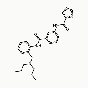 CCCN(CCC)Cc1ccccc1NC(=O)c1cccc(NC(=O)c2cccs2)c1